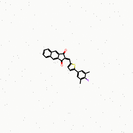 Cc1cc(-c2ccc(C=C3C(=O)c4cc5ccccc5cc4C3=O)s2)cc(C)c1I